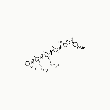 COc1ccc(Nc2ccc3c(O)c(N=Nc4cc(C)c(N=Nc5cc(C)c(N=Nc6cc(C)c(N=Nc7ccccc7S(=O)(=O)O)cc6OCCCS(=O)(=O)O)cc5OCCCS(=O)(=O)O)cc4C)ccc3c2)cc1